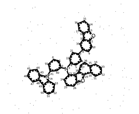 c1cc(N(c2ccc(-c3ccc4oc5ccccc5c4c3)cc2)c2cccc3oc4c5ccccc5ccc4c23)cc(-n2c3ccccc3c3ccccc32)c1